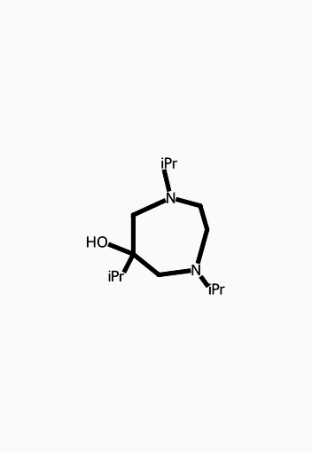 CC(C)N1CCN(C(C)C)CC(O)(C(C)C)C1